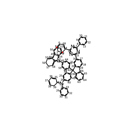 C1=CCCC(c2nc(-c3ccccc3)nc(-c3ccc4c(c3)C(c3ccc(N(c5ccccc5)C5C=CC=CC5)cc3)(c3ccc(-n5c6c(c7ccccc75)=CCCC=6)cc3)c3ccccc3-4)n2)=C1